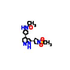 CC(=O)Nc1ccc(-c2ccnc3[nH]c(C4=CCN(S(C)(=O)=O)CC4)cc23)cc1